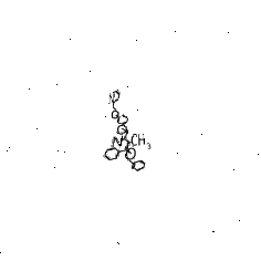 Cc1c(COc2cccc(OCCc3ccccn3)c2)nc2ccccc2c1OCc1ccccc1